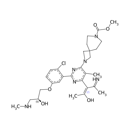 CNC[C@H](O)COc1ccc(Cl)c(-c2nc(/C(C(C)=N)=C(\C)O)c(C)c(N3CC4(CCN(C(=O)OC)CC4)C3)n2)c1